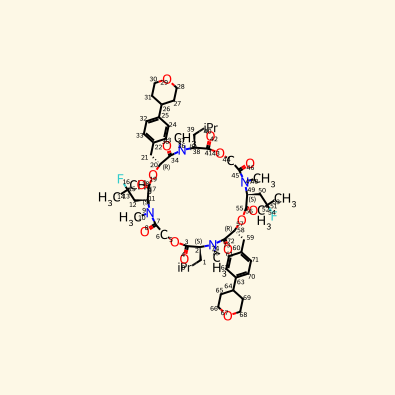 CC(C)C[C@H]1C(=O)OCC(=O)N(C)[C@@H](CC(C)(C)F)C(=O)O[C@H](Cc2ccc(C3CCOCC3)cc2)C(=O)N(C)[C@@H](CC(C)C)C(=O)OCC(=O)N(C)[C@@H](CC(C)(C)F)C(=O)O[C@H](Cc2ccc(C3CCOCC3)cc2)C(=O)N1C